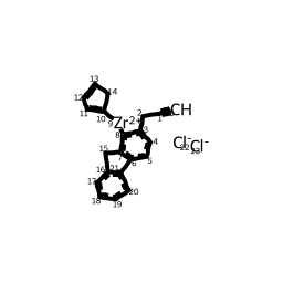 C#CCc1ccc2c([c]1[Zr+2][C]1=CC=CC1)Cc1ccccc1-2.[Cl-].[Cl-]